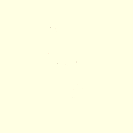 CC(C)(C)OC(=O)N(CCCCCCSC(c1ccccc1)(c1ccccc1)c1ccccc1)CCNC(=O)Oc1ccc([N+](=O)[O-])cc1